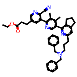 CCOC(=O)CCc1cnc(C#N)c(-c2ncc(-c3nc(CCCN(Cc4ccccc4)Cc4ccccc4)cc4c3CCC4)c(C)c2C)c1